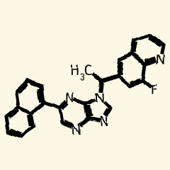 CC(c1cc(F)c2ncccc2c1)n1cnc2ncc(-c3cccc4ccccc34)nc21